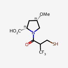 CO[C@H]1C[C@@H](C(=O)O)N(C(=O)C(CS)C(F)(F)F)C1